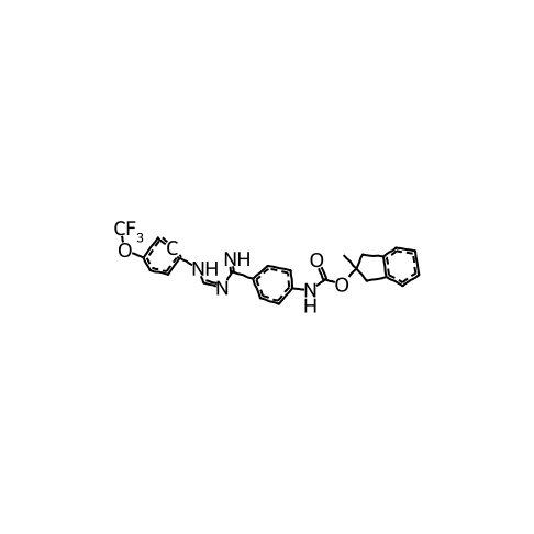 CC1(OC(=O)Nc2ccc(C(=N)/N=C\Nc3ccc(OC(F)(F)F)cc3)cc2)Cc2ccccc2C1